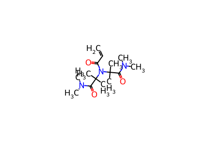 C=CC(=O)N(C(C)(C)C(=O)N(C)C)C(C)(C)C(=O)N(C)C